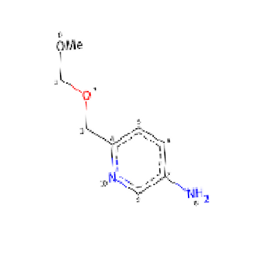 COCOCc1ccc(N)cn1